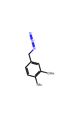 CCCCc1ccc(CN=[N+]=[N-])cc1OC